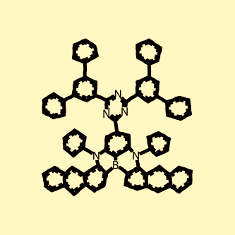 c1ccc(-c2cc(-c3ccccc3)cc(-c3nc(-c4cc(-c5ccccc5)cc(-c5ccccc5)c4)nc(-c4cc5c6c(c4)N(c4ccccc4)c4c(ccc7cc8ccccc8cc47)B6c4ccc6cc7ccccc7cc6c4N5c4ccccc4)n3)c2)cc1